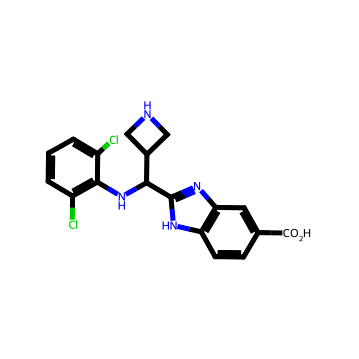 O=C(O)c1ccc2[nH]c(C(Nc3c(Cl)cccc3Cl)C3CNC3)nc2c1